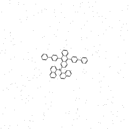 c1ccc(-c2ccc(-c3c4ccccc4c(-c4ccc(-c5ccccc5)cc4)c4cc(N(c5cccc6ccccc56)c5cccc6ccccc56)ccc34)cc2)cc1